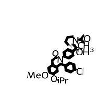 COc1cc2c(cc1OC(C)C)C(c1ccc(Cl)cc1)N(c1ccc([C@](C)(O)[C@@H]3CCCCN3C3COC3)cc1)C(=O)C2